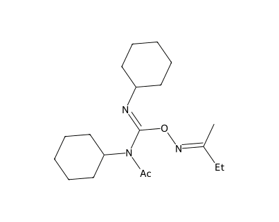 CC/C(C)=N/O/C(=N\C1CCCCC1)N(C(C)=O)C1CCCCC1